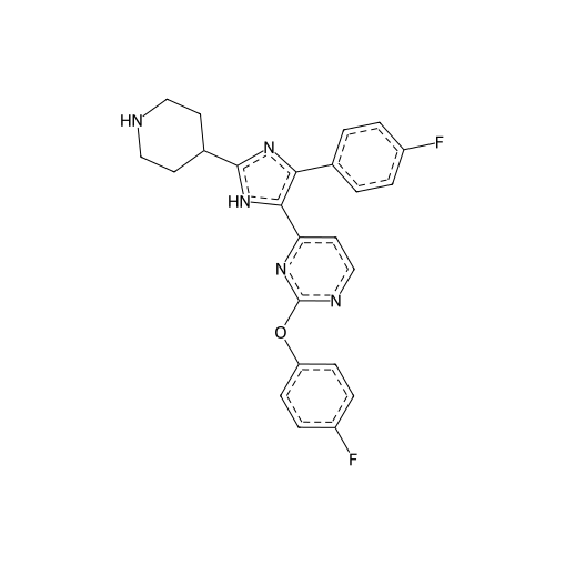 Fc1ccc(Oc2nccc(-c3[nH]c(C4CCNCC4)nc3-c3ccc(F)cc3)n2)cc1